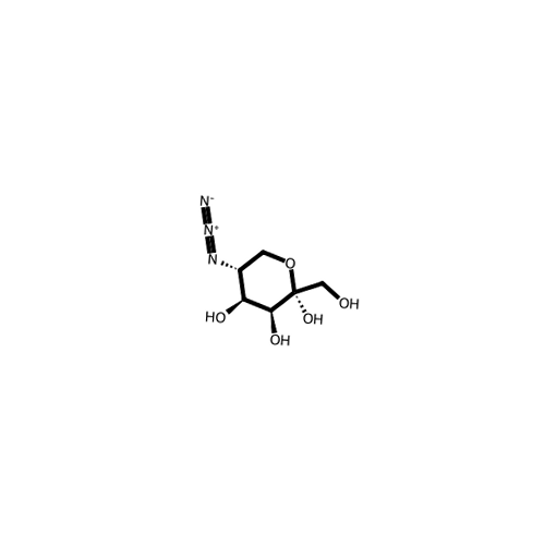 [N-]=[N+]=N[C@@H]1CO[C@@](O)(CO)[C@@H](O)[C@H]1O